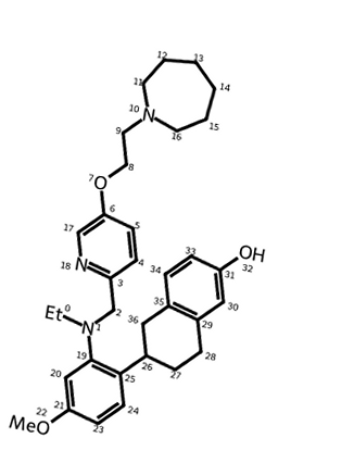 CCN(Cc1ccc(OCCN2CCCCCC2)cn1)c1cc(OC)ccc1C1CCc2cc(O)ccc2C1